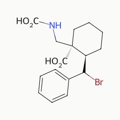 O=C(O)NC[C@@]1(C(=O)O)CCCC[C@H]1C(Br)c1ccccc1